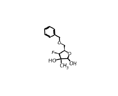 C[C@]1(O)C(O)O[C@H](COCc2ccccc2)[C@@H]1F